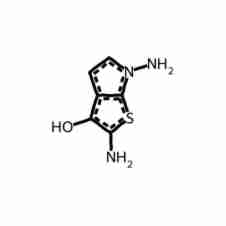 Nc1sc2c(ccn2N)c1O